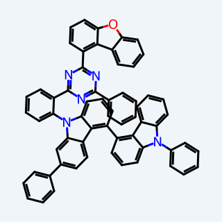 c1ccc(-c2ccc3c4c(-c5cccc6c5c5ccccc5n6-c5ccccc5)cccc4n(-c4ccccc4-c4nc(-c5ccccc5)nc(-c5cccc6oc7ccccc7c56)n4)c3c2)cc1